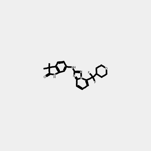 CC1(C)C(=O)Nc2cc(Nc3nc4cccc(C(F)(F)C5CCOCC5)n4n3)ccc21